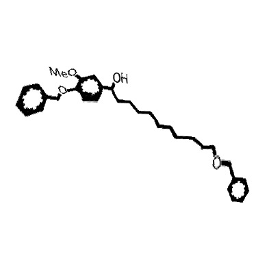 COc1cc(C(O)CCCCCCCCCCOCc2ccccc2)ccc1OCc1ccccc1